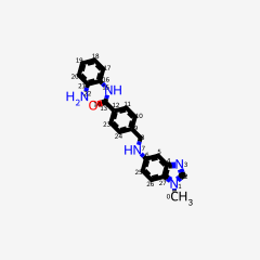 Cn1cnc2cc(NCc3ccc(C(=O)Nc4ccccc4N)cc3)ccc21